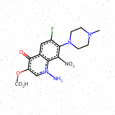 CN1CCN(c2c(F)cc3c(=O)c(OC(=O)O)cn(N)c3c2[N+](=O)[O-])CC1